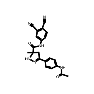 CC(=O)Nc1ccc(C2=NNC(C)(C(=O)Nc3ccc(C#N)c(C#N)c3)C2)cc1